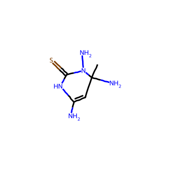 CC1(N)C=C(N)NC(=S)N1N